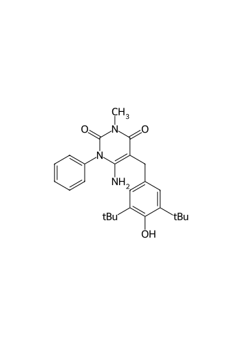 Cn1c(=O)c(Cc2cc(C(C)(C)C)c(O)c(C(C)(C)C)c2)c(N)n(-c2ccccc2)c1=O